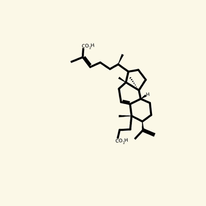 C=C(C)[C@@H]1CC[C@@H]2C(=CC[C@]3(C)C([C@H](C)CC/C=C(/C)C(=O)O)CC[C@@]23C)[C@@]1(C)CCC(=O)O